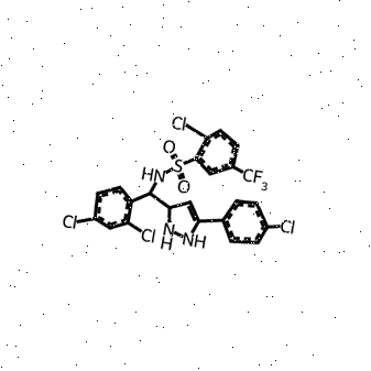 O=S(=O)(NC(c1ccc(Cl)cc1Cl)C1C=C(c2ccc(Cl)cc2)NN1)c1cc(C(F)(F)F)ccc1Cl